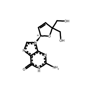 Nc1nc2c(ncn2[C@H]2C=CC(CO)(CO)O2)c(=O)[nH]1